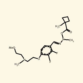 COCCN(C)CCOc1ccc(C=NN(C)OC(=O)C2(C)CCC2)c(F)c1F